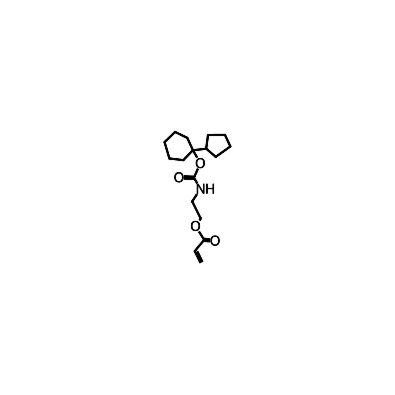 C=CC(=O)OCCNC(=O)OC1(C2CCCC2)CCCCC1